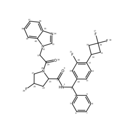 O=C(NC(c1ccccc1)c1ccc(C2CC(F)(F)C2)c(F)c1)C1CC(F)CN1C(=O)Cn1cnc2ccccc21